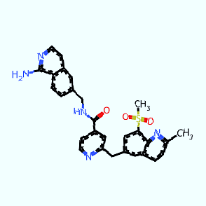 Cc1ccc2cc(Cc3cc(C(=O)NCc4ccc5c(N)nccc5c4)ccn3)cc(S(C)(=O)=O)c2n1